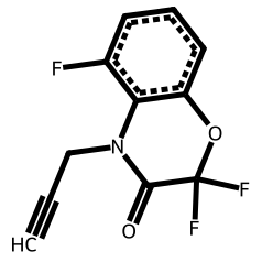 C#CCN1C(=O)C(F)(F)Oc2cccc(F)c21